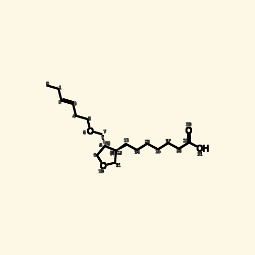 CCC=CCCOC[C@H]1COC[C@@H]1CCCCCCC(=O)O